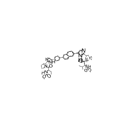 CCC(NC(=O)OC)C(=O)N1C2CCC(C2)C1c1ncc(-c2ccc(-c3ccc4cc(-c5cnc(C6CC7(CC7)CN6C(=O)C(NC(=O)OC)C(C)C)[nH]5)ccc4c3)cc2)[nH]1